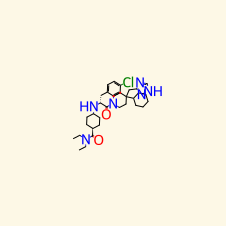 CCN(CC)C(=O)[C@H]1CC[C@H](N[C@H](Cc2ccc(Cl)cc2)C(=O)N2CCC(Cc3nc[nH]n3)(C3CCCCC3)CC2)CC1